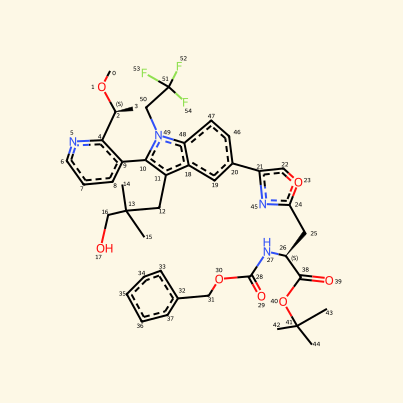 CO[C@@H](C)c1ncccc1-c1c(CC(C)(C)CO)c2cc(-c3coc(C[C@H](NC(=O)OCc4ccccc4)C(=O)OC(C)(C)C)n3)ccc2n1CC(F)(F)F